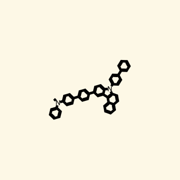 CN(c1ccccc1)c1ccc(-c2ccc(-c3ccc4c(c3)c3c5ccccc5ccc3n4-c3ccc(-c4ccccc4)cc3)cc2)cc1